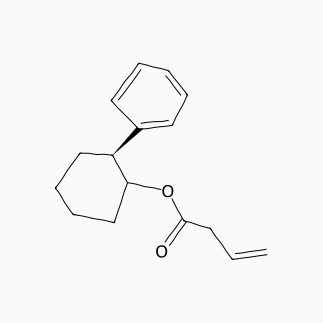 C=CCC(=O)OC1CCCC[C@H]1c1ccccc1